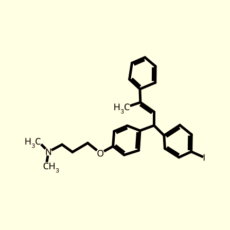 CC(=CC(c1ccc(I)cc1)c1ccc(OCCCN(C)C)cc1)c1ccccc1